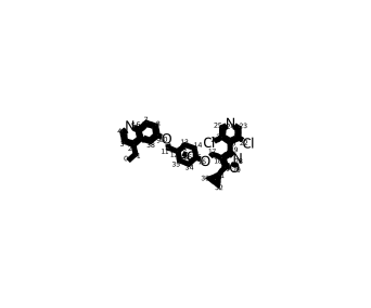 CCc1ccnc2ccc(OCC34CCC(OCc5c(-c6c(Cl)cncc6Cl)noc5C5CC5)(CC3)CC4)cc12